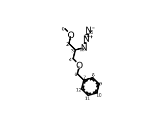 COCC(COCc1ccccc1)N=[N+]=[N-]